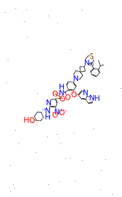 CC(C)c1ccccc1[C@@H]1CSCCN1C1CC2(CCN(c3ccc(C(=O)NS(=O)(=O)c4cnc(NC[C@H]5CC[C@](C)(O)CC5)c([N+](=O)[O-])c4)c(Oc4cnc5[nH]ccc5c4)c3)CC2)C1